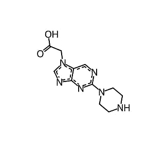 O=C(O)Cn1cnc2nc(N3CCNCC3)ncc21